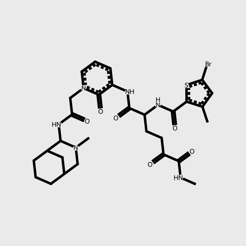 CNC(=O)C(=O)CCC(NC(=O)c1sc(Br)cc1C)C(=O)Nc1cccn(CC(=O)NC2C3CCCC(C3)CN2C)c1=O